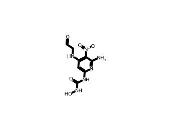 Nc1nc(NC(=O)NO)cc(NCC=O)c1[N+](=O)[O-]